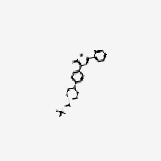 CC(C)(C)OC(=O)N1CCC(c2ccc(-c3cc(-c4ccccc4O)nnc3N)cc2)CC1